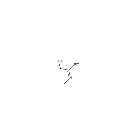 CCCCC/C(CCC)=N\C